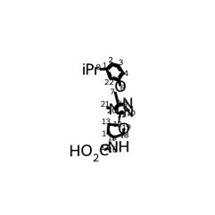 CC(C)c1cccc(OCc2nnc([C@@H]3CC[C@@H](NC(=O)O)CO3)n2C)c1